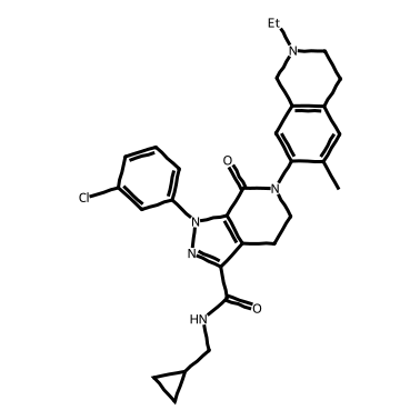 CCN1CCc2cc(C)c(N3CCc4c(C(=O)NCC5CC5)nn(-c5cccc(Cl)c5)c4C3=O)cc2C1